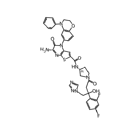 Nc1nc2sc(C(=O)N[C@@H]3CCN(C(=O)CC(O)(Cn4cncn4)c4ccc(F)cc4F)C3)cc2n(-c2ccc3c(c2)N(c2ccccc2)CCO3)c1=O